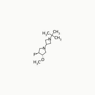 CO[C@H]1CN(C2CN(C(C)(C)C)C2)C[C@@H]1F